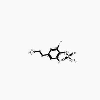 CS(=O)(=O)Nc1c(F)cc(CCN)cc1F